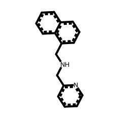 c1ccc(CNCc2cccc3ccccc23)nc1